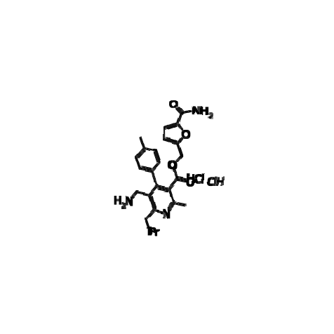 Cc1ccc(-c2c(CN)c(CC(C)C)nc(C)c2C(=O)OCc2ccc(C(N)=O)o2)cc1.Cl.Cl